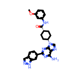 COc1cccc(NC(=O)[C@H]2CC[C@@H](n3cnc4c(N)nc(-c5ccc6cn[nH]c6c5)nc43)CC2)c1